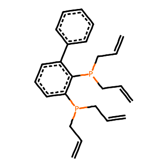 C=CCP(CC=C)c1cccc(-c2ccccc2)c1P(CC=C)CC=C